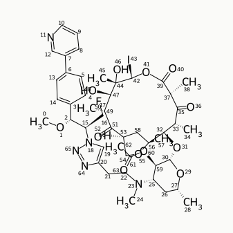 CO[C@H](c1ccc(-c2cccnc2)cc1)[C@@H](CF)n1cc(CCN(C)[C@H]2C[C@@H](C)O[C@@H](O[C@@H]3[C@@H](C)C(=O)[C@@H](C)C(=O)O[C@H](I)[C@@](C)(O)[C@H](O)[C@@H](C)C(=O)[C@@H]4CO[C@]3(C)C4)[C@@H]2OC(C)=O)nn1